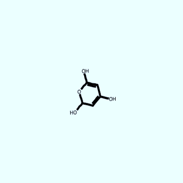 OC1=CC(O)OC(O)=C1